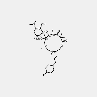 CO[C@]1(C)C[C@@H](C)CN(C)[C@@H](CCCN2CCC(F)CC2)COC(=O)C(C)(C)C(=O)[C@H](C)[C@H]1O[C@@H]1O[C@H](C)C[C@H](N(C)C)[C@H]1O